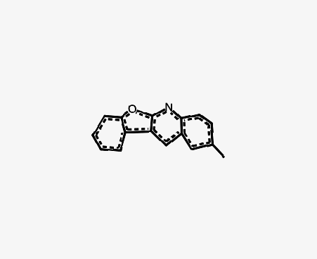 Cc1ccc2nc3oc4ccccc4c3cc2c1